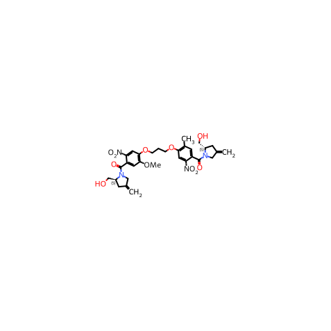 C=C1C[C@@H](CO)N(C(=O)c2cc(C)c(OCCCOc3cc([N+](=O)[O-])c(C(=O)N4CC(=C)C[C@H]4CO)cc3OC)cc2[N+](=O)[O-])C1